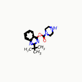 CC(C)(C)c1nc(OC(=O)N2CCNCC2)c2ccccc2n1